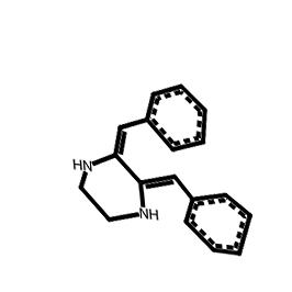 C(=C1NCCNC1=Cc1ccccc1)c1ccccc1